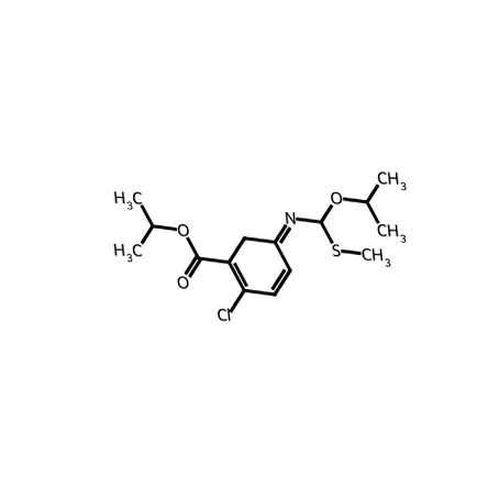 CSC(N=C1C=CC(Cl)=C(C(=O)OC(C)C)C1)OC(C)C